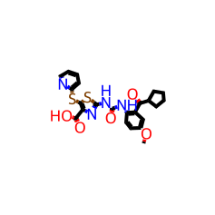 COc1ccc(NC(=O)Nc2nc(C(=O)O)c(Sc3ccccn3)s2)c(C(=O)C2CCCC2)c1